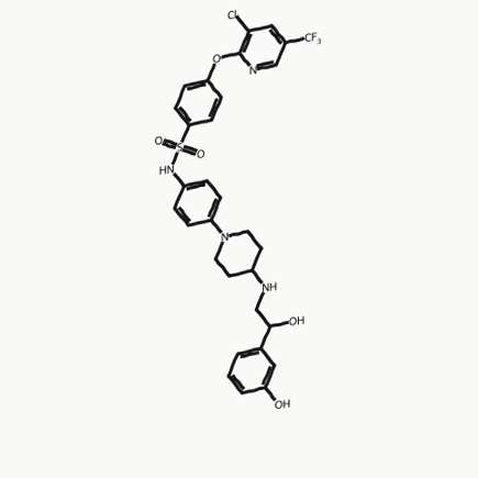 O=S(=O)(Nc1ccc(N2CCC(NCC(O)c3cccc(O)c3)CC2)cc1)c1ccc(Oc2ncc(C(F)(F)F)cc2Cl)cc1